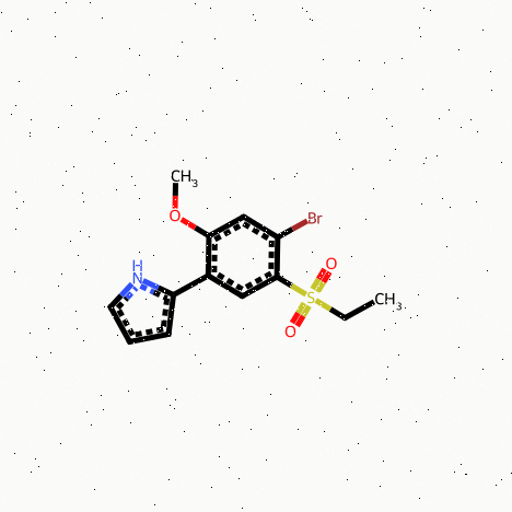 CCS(=O)(=O)c1cc(-c2ccc[nH]2)c(OC)cc1Br